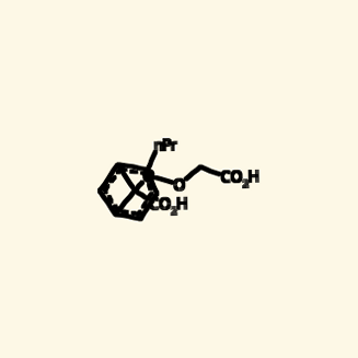 CCCc1ccc2cc1C2(OOCC(=O)O)C(=O)O